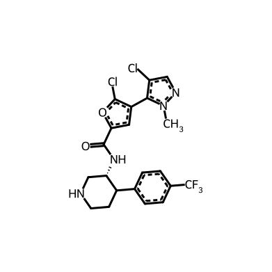 Cn1ncc(Cl)c1-c1cc(C(=O)N[C@H]2CNCCC2c2ccc(C(F)(F)F)cc2)oc1Cl